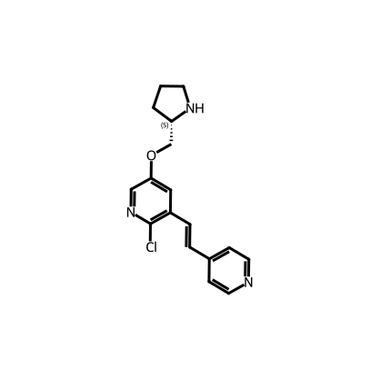 Clc1ncc(OC[C@@H]2CCCN2)cc1C=Cc1ccncc1